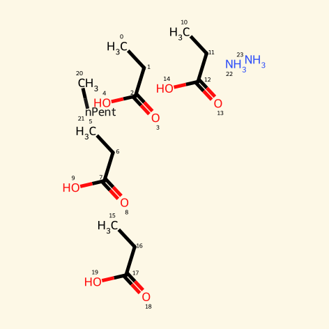 CCC(=O)O.CCC(=O)O.CCC(=O)O.CCC(=O)O.CCCCCC.N.N